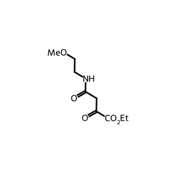 CCOC(=O)C(=O)CC(=O)NCCOC